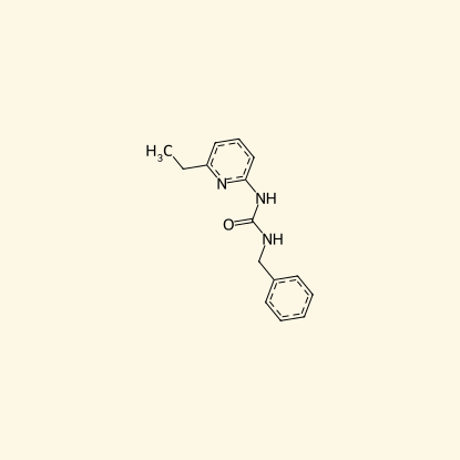 CCc1cccc(NC(=O)NCc2ccccc2)n1